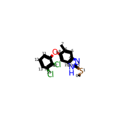 CSc1nc2cc(C)c(Oc3cccc(Cl)c3Cl)cc2[nH]1